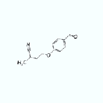 CC(C#N)CCOc1ccc(C=O)cc1